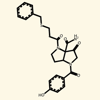 NC(=O)C12C(=O)CN(C(=O)c3ccc(O)cc3)C1CCN2C(=O)[CH]CSCc1ccccc1